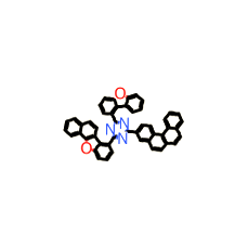 c1ccc2c(c1)ccc1c2oc2cccc(-c3nc(-c4ccc5c(ccc6ccc7ccccc7c65)c4)nc(-c4cccc5oc6ccccc6c45)n3)c21